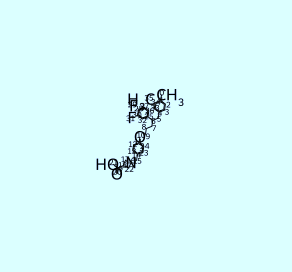 Cc1ccc(CC(CCCOc2ccc(CN3CC(C(=O)O)C3)cc2)c2ccc(F)c(F)c2)cc1C